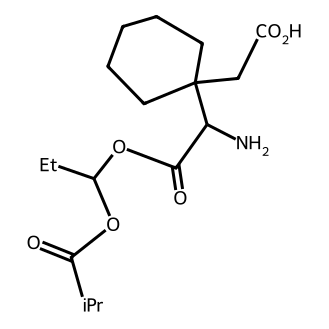 CCC(OC(=O)C(C)C)OC(=O)C(N)C1(CC(=O)O)CCCCC1